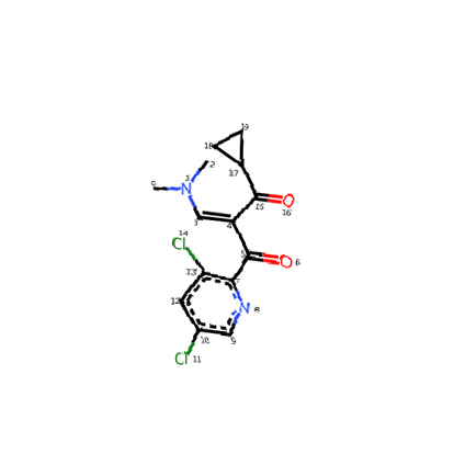 CN(C)/C=C(/C(=O)c1ncc(Cl)cc1Cl)C(=O)C1CC1